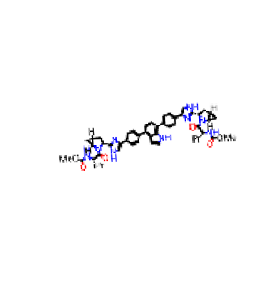 COC(=O)N[C@H](C(=O)N1[C@@H]2C[C@@H]2C[C@H]1c1nc(-c2ccc(-c3ccc(-c4ccc(-c5c[nH]c([C@@H]6C[C@H]7C[C@H]7N6C(=O)[C@@H](NC(=O)OC)C(C)C)n5)cc4)c4[nH]ccc34)cc2)c[nH]1)C(C)C